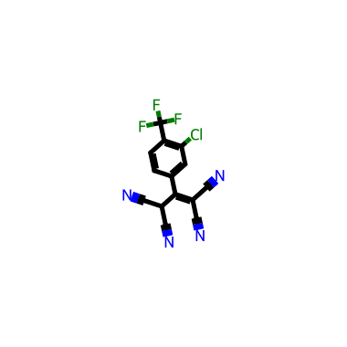 N#CC(C#N)=C(c1ccc(C(F)(F)F)c(Cl)c1)C(C#N)C#N